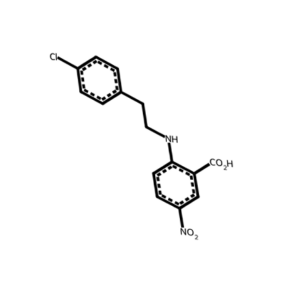 O=C(O)c1cc([N+](=O)[O-])ccc1NCCc1ccc(Cl)cc1